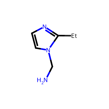 CCc1nccn1CN